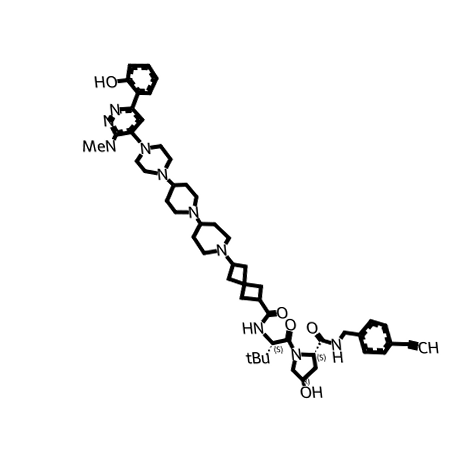 C#Cc1ccc(CNC(=O)[C@@H]2C[C@@H](O)CN2C(=O)[C@@H](NC(=O)C2CC3(C2)CC(N2CCC(N4CCC(N5CCN(c6cc(-c7ccccc7O)nnc6NC)CC5)CC4)CC2)C3)C(C)(C)C)cc1